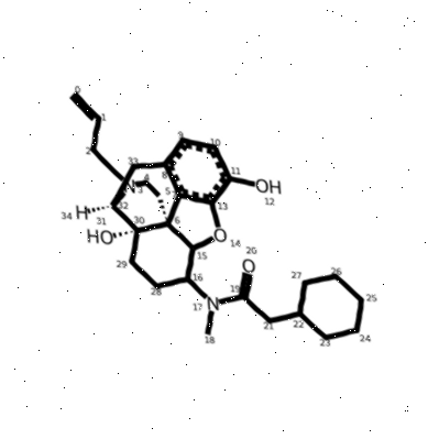 C=CCN1CC[C@]23c4c5ccc(O)c4OC2C(N(C)C(=O)CC2CCCCC2)CC[C@@]3(O)[C@H]1C5